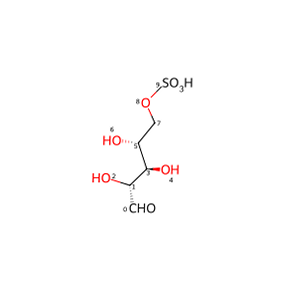 O=C[C@H](O)[C@H](O)[C@H](O)COS(=O)(=O)O